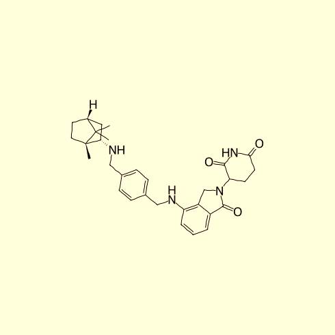 CC1(C)[C@@H]2CC[C@@]1(C)[C@@H](NCc1ccc(CNc3cccc4c3CN(C3CCC(=O)NC3=O)C4=O)cc1)C2